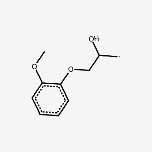 [CH2]C(O)COc1ccccc1OC